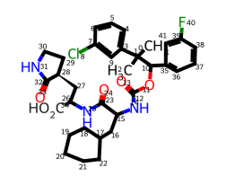 CC(C)(c1cccc(Cl)c1)C(OC(=O)NC(CC1CCCCC1)C(=O)NC(C[C@@H]1CCNC1=O)C(=O)O)c1cccc(F)c1